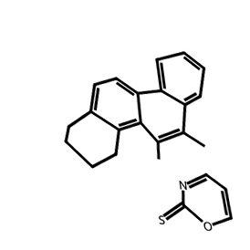 Cc1c(C)c2c3c(ccc2c2ccccc12)CCCC3.S=c1nccco1